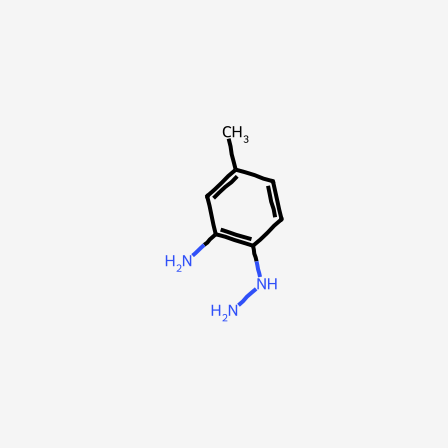 Cc1ccc(NN)c(N)c1